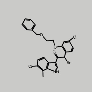 Cc1c(Cl)ccc2c(C(=O)C(Br)c3ccc(Cl)cc3OCCOCc3ccccc3)c[nH]c12